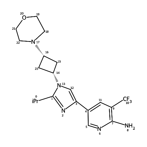 CC(C)c1nc(-c2cnc(N)c(C(F)(F)F)c2)cn1[C@H]1C[C@@H](N2CCOCC2)C1